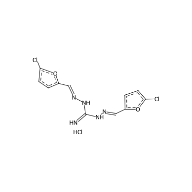 Cl.N=C(NN=Cc1ccc(Cl)o1)NN=Cc1ccc(Cl)o1